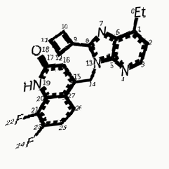 CCc1ccnc2c1nc(C1=CC=C1)n2Cc1cc(=O)[nH]c2c(F)c(F)ccc12